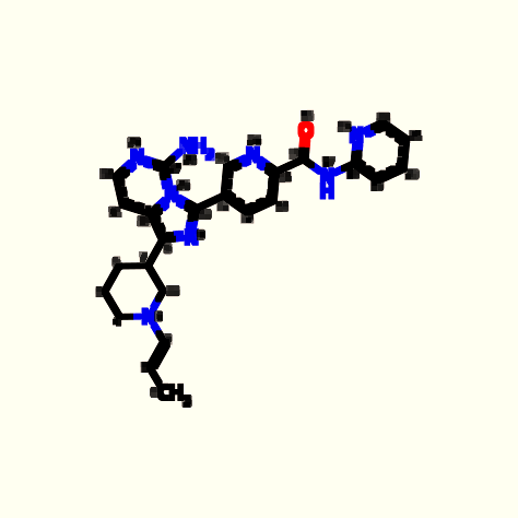 CC=CN1CCCC(c2nc(-c3ccc(C(=O)Nc4ccccn4)nc3)n3c(N)nccc23)C1